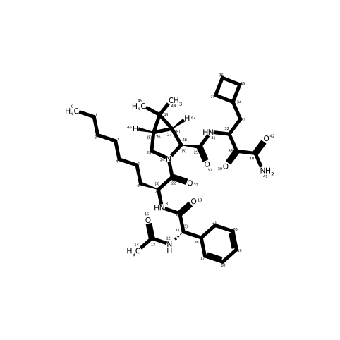 CCCCCCC[C@H](NC(=O)[C@@H](NC(C)=O)C1C=CC=CC1)C(=O)N1C[C@H]2[C@@H]([C@H]1C(=O)NC(CC1CCC1)C(=O)C(N)=O)C2(C)C